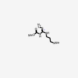 C/N=C(/NCCCNC)NC(=O)OC